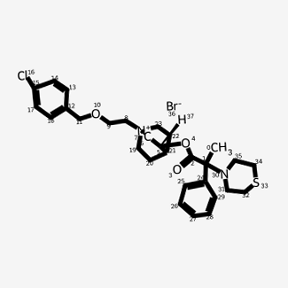 CC(C(=O)O[C@H]1C[N+]2(CCOCc3ccc(Cl)cc3)CCC1CC2)(c1ccccc1)N1CCSCC1.[Br-]